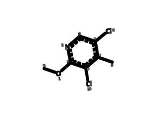 COc1ncc(Cl)c(C)c1Cl